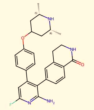 C[C@@H]1CC(Oc2ccc(-c3cc(F)nc(N)c3-c3ccc4c(c3)CCNC4=O)cc2)C[C@H](C)N1